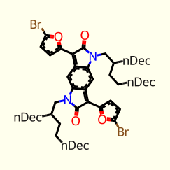 CCCCCCCCCCCCC(CCCCCCCCCC)CN1C(=O)C(c2ccc(Br)o2)=c2cc3c(cc21)=C(c1ccc(Br)o1)C(=O)N3CC(CCCCCCCCCC)CCCCCCCCCCCC